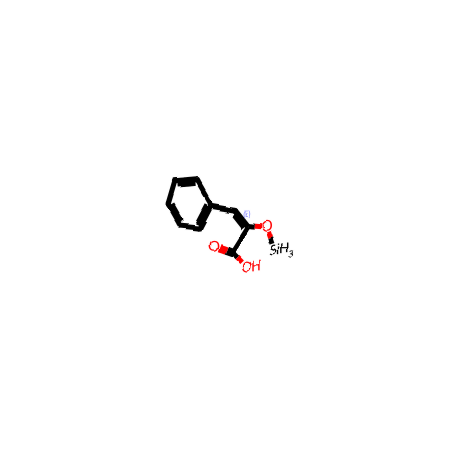 O=C(O)/C(=C\c1ccccc1)O[SiH3]